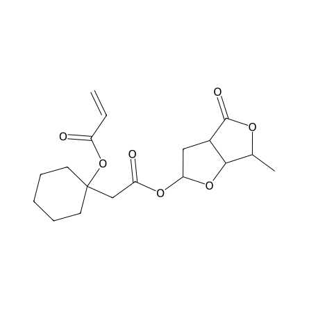 C=CC(=O)OC1(CC(=O)OC2CC3C(=O)OC(C)C3O2)CCCCC1